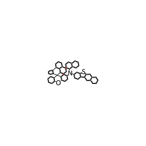 c1ccc2c(c1)Oc1ccc(N(c3ccc4c(c3)sc3cc5ccccc5cc34)c3cccc4ccccc34)cc1C21c2ccccc2-c2cccc3cccc1c23